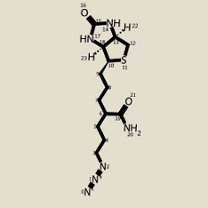 [N-]=[N+]=NCCCC(CCC[C@@H]1SC[C@@H]2NC(=O)N[C@@H]21)C(N)=O